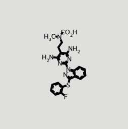 CN(CCc1c(N)nc(-n2nc(Sc3ccccc3F)c3ccccc32)nc1N)C(=O)O